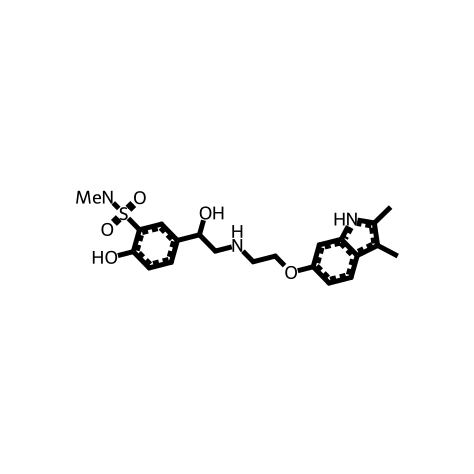 CNS(=O)(=O)c1cc(C(O)CNCCOc2ccc3c(C)c(C)[nH]c3c2)ccc1O